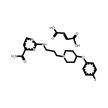 NC(=O)c1ccnc(NCCCN2CCC(Oc3ccc(F)cc3)CC2)n1.O=C(O)/C=C/C(=O)O